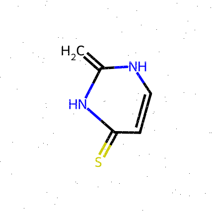 C=C1NC=CC(=S)N1